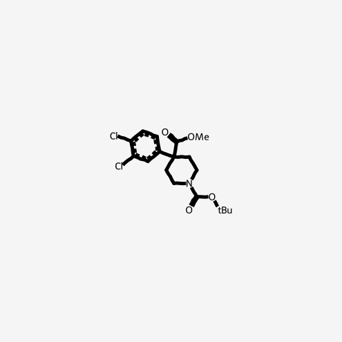 COC(=O)C1(c2ccc(Cl)c(Cl)c2)CCN(C(=O)OC(C)(C)C)CC1